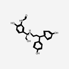 O=CNc1cc([C@H](CO)NCCC(c2ccc(O)cc2)c2ccc(O)cc2)ccc1O